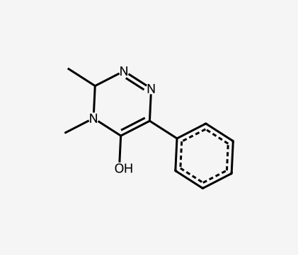 CC1N=NC(c2ccccc2)=C(O)N1C